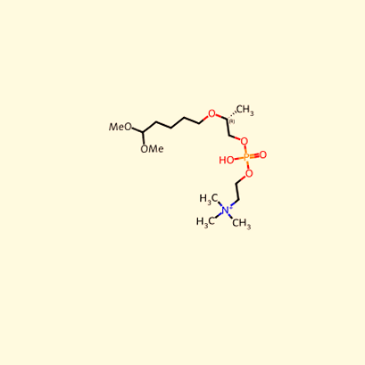 COC(CCCCO[C@H](C)COP(=O)(O)OCC[N+](C)(C)C)OC